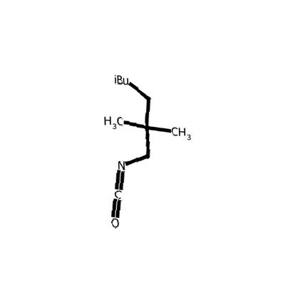 [CH2]CC(C)CC(C)(C)CN=C=O